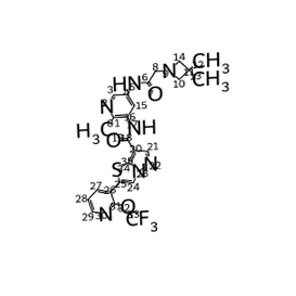 Cc1ncc(NC(=O)CN2CC(C)(C)C2)cc1NC(=O)c1cnn2cc(-c3cccnc3OC(F)(F)F)sc12